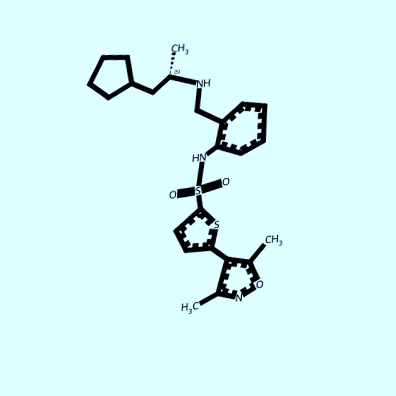 Cc1noc(C)c1-c1ccc(S(=O)(=O)Nc2ccccc2CN[C@@H](C)CC2CCCC2)s1